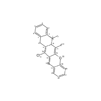 CN1c2ccccc2CC2=C(Cl)C3=Nc4ccccc4OC3=C(F)C21